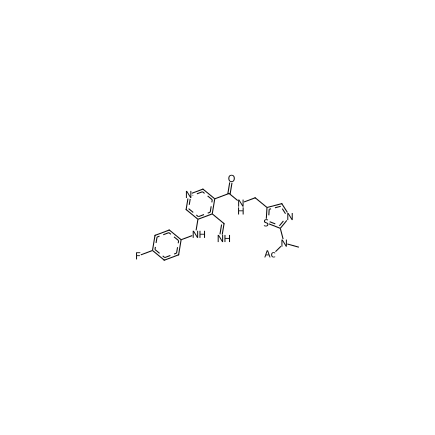 CC(=O)N(C)c1ncc(CNC(=O)c2cncc(Nc3ccc(F)cc3)c2C=N)s1